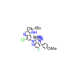 BC(Nc1cc(Cl)c2ncc(C#N)c(NCC(C)(C)C)c2c1)(c1ccc(F)cc1)c1nnnn1Cc1ccc(OC)cc1